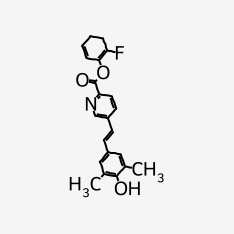 Cc1cc(/C=C/c2ccc(C(=O)OC3=C(F)CCC=C3)nc2)cc(C)c1O